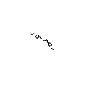 C=C(C)C(=O)Oc1ccc(/C=C/OCc2ccc(-c3ccc(OC(=O)C(=C)C)cc3)o2)cc1